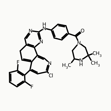 CC1CN(C(=O)c2ccc(Nc3ncc4c(n3)C3=CN=C(Cl)C=C(c5c(F)cccc5F)C3=CC4)cc2)CC(C)(C)N1